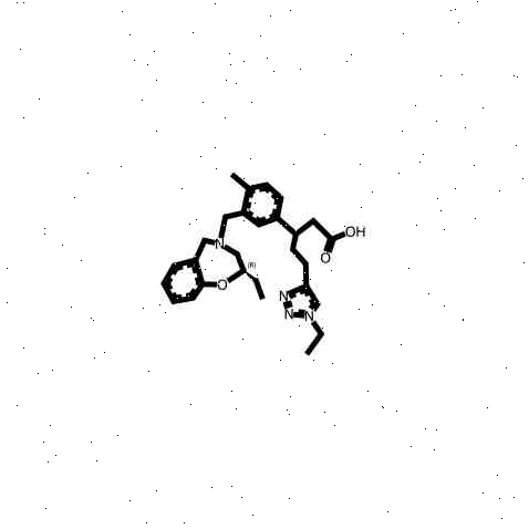 CC[C@@H]1CN(Cc2cc(C(CCc3cn(CC)nn3)CC(=O)O)ccc2C)Cc2ccccc2O1